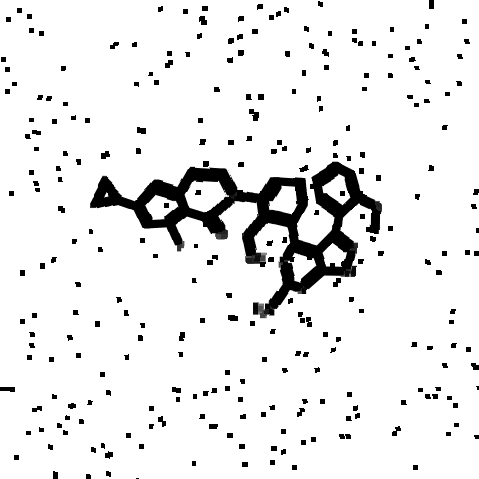 COc1ccccc1-c1n[nH]c2nc(N)nc(-c3cccc(-n4ccc5cc(C6CC6)cc(F)c5c4=O)c3CO)c12